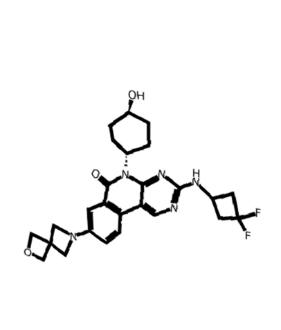 O=c1c2cc(N3CC4(COC4)C3)ccc2c2cnc(NC3CC(F)(F)C3)nc2n1[C@H]1CC[C@H](O)CC1